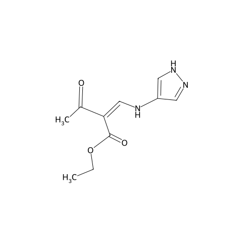 CCOC(=O)/C(=C\Nc1cn[nH]c1)C(C)=O